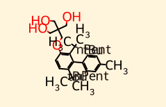 CCCCCC(C)(C)c1ccc(OCC(CO)(CO)CO)c(C(C)(C)CCCCC)c1-c1c(C(C)(C)C)cc(C)cc1C(C)(C)C